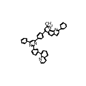 Cc1cc(-c2ccc(-c3cc(-c4ccccc4)nc(-c4cccc(-c5cccc6cccnc56)c4)n3)cc2)c2ccc3ccc(-c4ccccc4)nc3c2n1